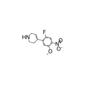 COc1cc(C2=CCNCC2)c(F)cc1[N+](=O)[O-]